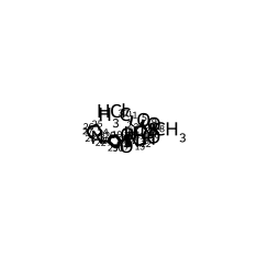 CCC[C@H]1C(=O)N(S(C)(=O)=O)[C@H]2CCN(S(=O)(=O)c3ccc(CN4CCCCC4)cc3)[C@H]12.Cl